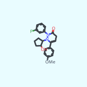 COc1ccc(C2=CCC(=O)N(c3cccc(F)c3)N2C2CCCC2O)cc1